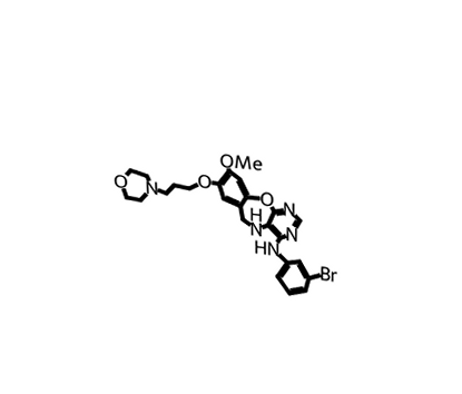 COc1cc2c(cc1OCCCN1CCOCC1)CNc1c(Nc3cccc(Br)c3)ncnc1O2